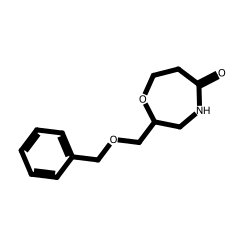 O=C1CCOC(COCc2ccccc2)CN1